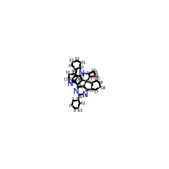 c1ccc(-c2nc(-c3ccccn3)c3c(n2)-c2ccccc2C32c3ccccc3-n3c4ccccc4c4cccc2c43)cc1